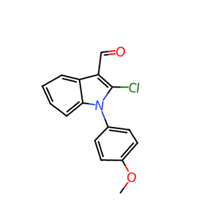 COc1ccc(-n2c(Cl)c(C=O)c3ccccc32)cc1